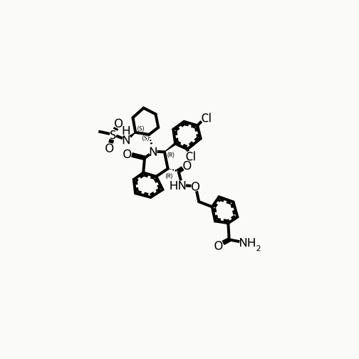 CS(=O)(=O)N[C@H]1CCCC[C@@H]1N1C(=O)c2ccccc2[C@@H](C(=O)NOCc2cccc(C(N)=O)c2)[C@@H]1c1ccc(Cl)cc1Cl